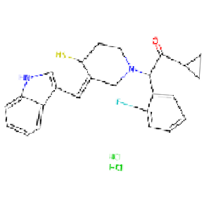 Cl.Cl.O=C(C1CC1)C(c1ccccc1F)N1CCC(S)C(=Cc2c[nH]c3ccccc23)C1